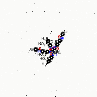 CC(=O)c1ccc(C(=O)Nc2ccc(-c3ccc(NC(=O)C(C)C(C(=O)Nc4ccc(-c5ccc(C)cc5S(=O)(=O)O)cc4)C(C(=O)Nc4ccc(-c5ccc(NC(=O)c6ccc(C(C)=O)cc6)cc5)c(S(=O)(=O)O)c4)C(C)C(=O)Nc4ccc(-c5ccc(C)cc5S(=O)(=O)O)cc4)cc3S(=O)(=O)O)cc2)cc1